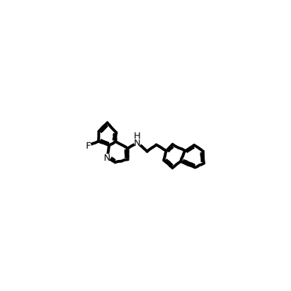 Fc1cccc2c(NCCc3ccc4ccccc4c3)ccnc12